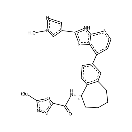 Cn1cc(-c2nc3c(-c4ccc5c(c4)CCCC[C@@H]5NC(=O)c4nnc(C(C)(C)C)o4)ccnc3[nH]2)cn1